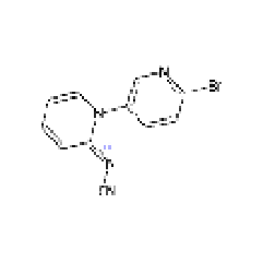 N#C/N=c1\ccccn1-c1ccc(Br)nc1